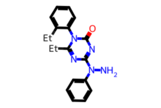 CCc1ccccc1-n1c(CC)nc(N(N)c2ccccc2)nc1=O